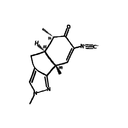 [C-]#[N+]C1=C[C@]2(C)c3nn(C)cc3C[C@H]2[C@H](C)C1=O